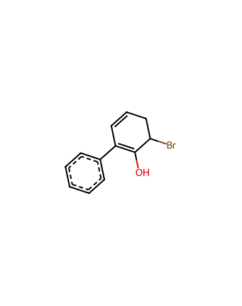 OC1=C(c2ccccc2)C=CCC1Br